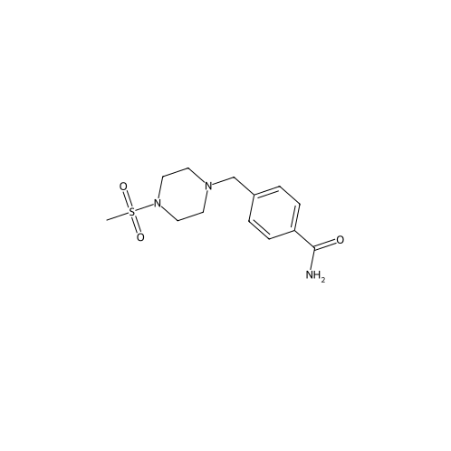 CS(=O)(=O)N1CCN(Cc2ccc(C(N)=O)cc2)CC1